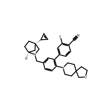 N#Cc1ccc(-c2cc(CN3C[C@]4(C5C=C5)CC[C@H]3C4)ccc2N2CCC3(CCOC3)CC2)cc1F